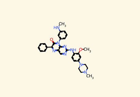 CNc1cccc(-n2c(=O)c(-c3ccccc3)nc3cnc(Nc4ccc(N5CCN(C)CC5)cc4OC)nc32)c1